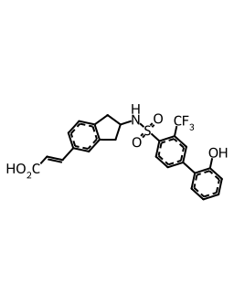 O=C(O)C=Cc1ccc2c(c1)CC(NS(=O)(=O)c1ccc(-c3ccccc3O)cc1C(F)(F)F)C2